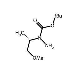 COC[C@H](C)N(N)C(=O)OC(C)(C)C